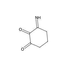 N=C1CCCC(=O)C1=O